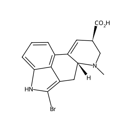 CN1C[C@H](C(=O)O)C=C2c3cccc4[nH]c(Br)c(c34)C[C@H]21